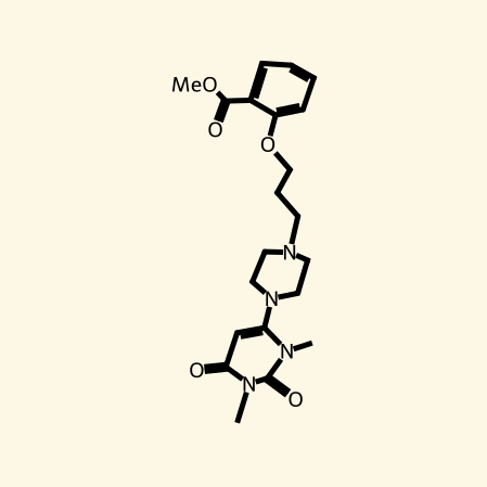 COC(=O)c1ccccc1OCCCN1CCN(c2cc(=O)n(C)c(=O)n2C)CC1